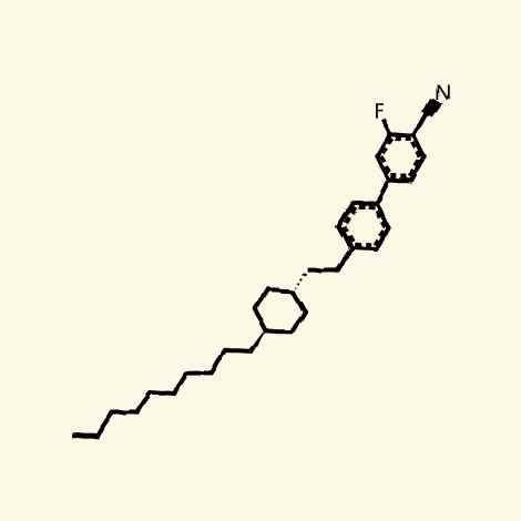 CCCCCCCCCC[C@H]1CC[C@H](CCc2ccc(-c3ccc(C#N)c(F)c3)cc2)CC1